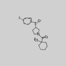 CCC1(C(=O)N2CCC([S+]([O-])c3ccc(F)cc3)C2)CCCCC1